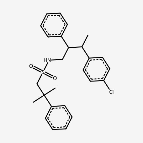 CC(c1ccc(Cl)cc1)C(CNS(=O)(=O)CC(C)(C)c1ccccc1)c1ccccc1